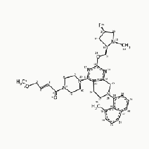 COC/C=C/C(=O)N1CCN(c2nc(OC[C@H]3C[C@@H](F)CN3C)nc3c2CCN(c2cccc4cccc(C)c24)C3)CC1